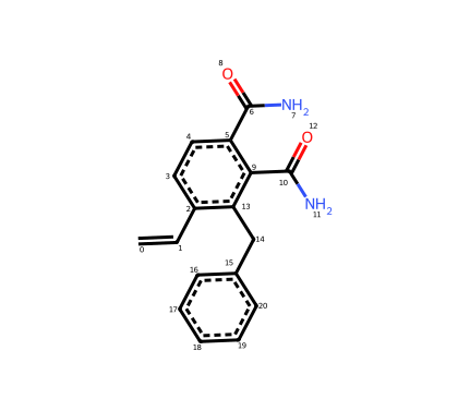 C=Cc1ccc(C(N)=O)c(C(N)=O)c1Cc1ccccc1